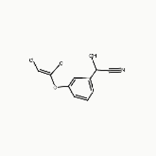 N#CC(O)c1cccc(OC(Cl)=CCl)c1